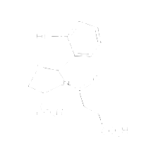 O=C(O)CCC(=O)N1C(c2ccccc2O)SC[C@H]1C(=O)O